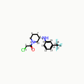 O=C(CCl)N1CCC[C@H](Nc2cccc(C(F)(F)F)c2)C1